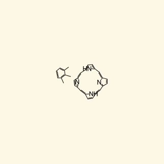 C1=Cc2cc3ccc(cc4nc(cc5ccc(cc1n2)[nH]5)C=C4)[nH]3.Cc1cccc(C)c1C